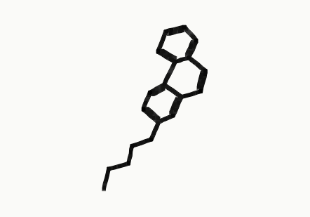 CCCCCc1ccc2c(ccc3ccccc32)c1